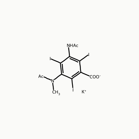 CC(=O)Nc1c(I)c(C(=O)[O-])c(I)c(N(C)C(C)=O)c1I.[K+]